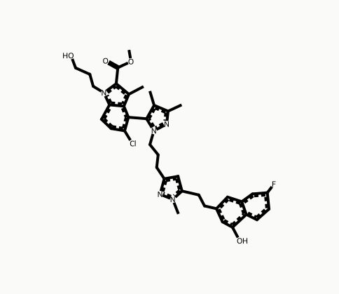 COC(=O)c1c(C)c2c(-c3c(C)c(C)nn3CCCc3cc(CCc4cc(O)c5ccc(F)cc5c4)n(C)n3)c(Cl)ccc2n1CCCO